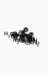 CC(C)(C)OC(=O)CN1[C@@H](CCCCNC(=O)OC(C)(C)C)C(=O)N(Cc2ccccc2)C[C@H]1[C@H](Cc1cn(C(=O)OC(C)(C)C)c2ccccc12)NC(=O)OC(C)(C)C